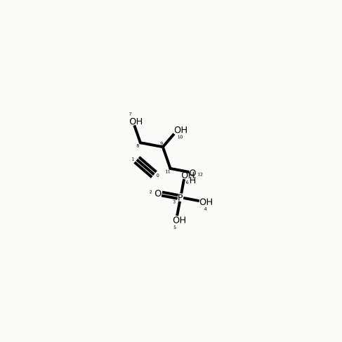 C#C.O=P(O)(O)O.OCC(O)CO